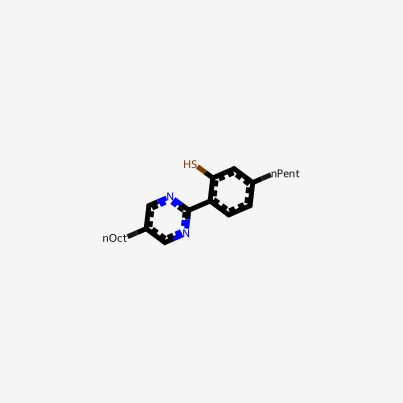 CCCCCCCCc1cnc(-c2ccc(CCCCC)cc2S)nc1